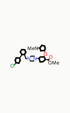 CNc1cccc(Oc2cc(N3CCN(Cc4ccccc4-c4ccc(Cl)cc4)CC3)ccc2C(=O)OC)c1